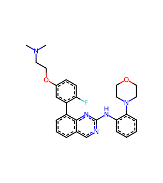 CN(C)CCOc1ccc(F)c(-c2cccc3cnc(Nc4ccccc4N4CCOCC4)nc23)c1